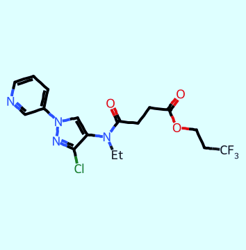 CCN(C(=O)CCC(=O)OCCC(F)(F)F)c1cn(-c2cccnc2)nc1Cl